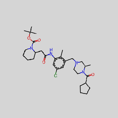 Cc1c(CN2CCN(C(=O)C3CCCC3)C(C)C2)cc(Cl)cc1NC(=O)CC1CCCCN1C(=O)OC(C)(C)C